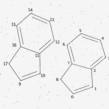 C1=Cc2ccccc2C1.C1=Cc2ccccc2C1